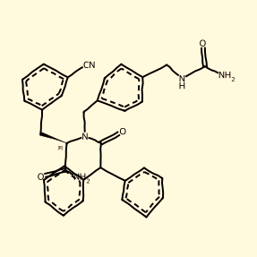 N#Cc1cccc(C[C@H](C(N)=O)N(Cc2ccc(CNC(N)=O)cc2)C(=O)C(c2ccccc2)c2ccccc2)c1